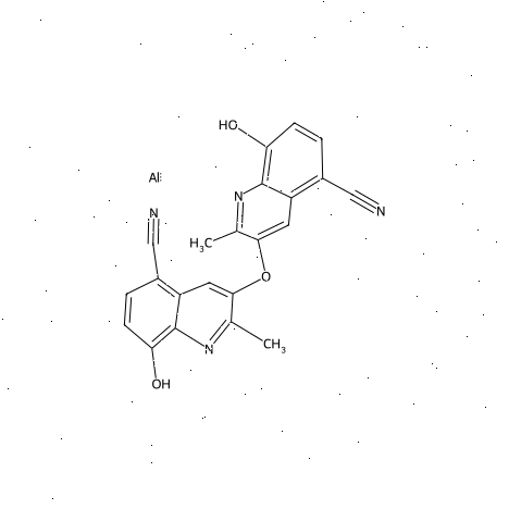 Cc1nc2c(O)ccc(C#N)c2cc1Oc1cc2c(C#N)ccc(O)c2nc1C.[Al]